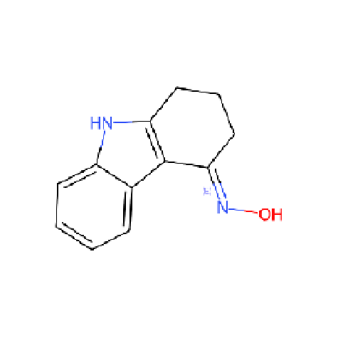 O/N=C1\CCCc2[nH]c3ccccc3c21